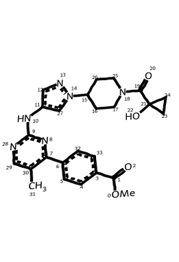 COC(=O)c1ccc(-c2nc(Nc3cnn(C4CCN(C(=O)C5(O)CC5)CC4)c3)ncc2C)cc1